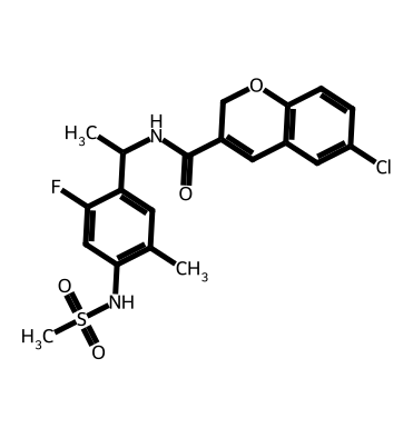 Cc1cc(C(C)NC(=O)C2=Cc3cc(Cl)ccc3OC2)c(F)cc1NS(C)(=O)=O